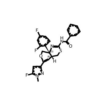 Cn1nc(C2=C[C@H]3CSC(NC(=O)c4ccccc4)=N[C@@]3(c3ccc(F)cc3F)CO2)cc1F